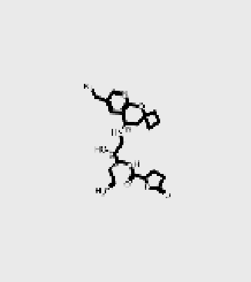 C=CC[C@H](NC(=O)C1CCC(=O)O1)[C@H](O)CN[C@H]1CC2(CCC2)Oc2ncc(CC(C)(C)C)cc21